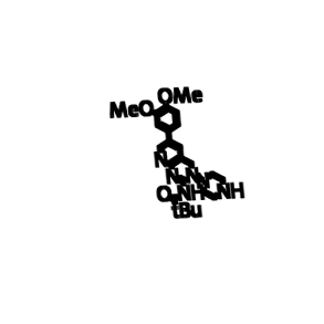 COc1ccc(-c2cnc3c(c2)CN(N2CCNCC2)C(NC(=O)C(C)(C)C)=N3)cc1OC